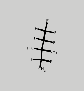 CC(F)(F)C(C)(C)C(F)(F)C(F)(F)F